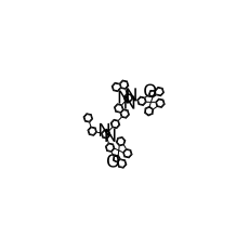 c1ccc(-c2cccc(-c3cc(-c4ccc5c(c4)C4(c6ccccc6-c6ccccc64)c4c-5oc5ccccc45)nc(-c4ccc(-c5cccc6c(-c7nc(-c8ccc9c(c8)-c8oc%10ccccc%10c8C98c9ccccc9-c9ccccc98)nc(-c8cccc9ccccc89)n7)cccc56)cc4)n3)c2)cc1